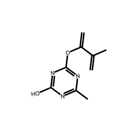 C=C(C)C(=C)Oc1nc(C)nc(O)n1